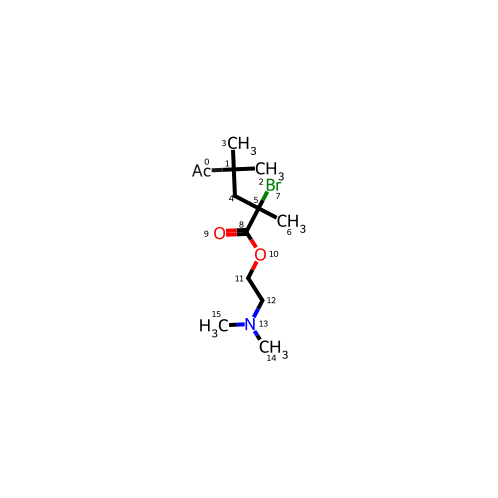 CC(=O)C(C)(C)CC(C)(Br)C(=O)OCCN(C)C